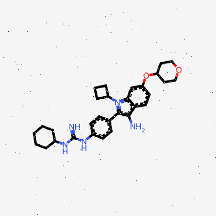 N=C(Nc1ccc(-c2c(N)c3ccc(OC4CCOCC4)cc3n2C2CCC2)cc1)NC1CCCCC1